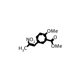 COC(=O)c1cc(/C=C(/C)[N+](=O)[O-])ccc1OC